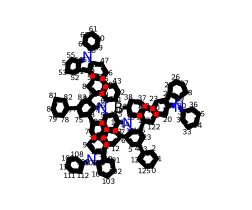 c1ccc(-c2cc(-c3ccccc3)c(N3c4cc(-c5ccc6c(c5)c5ccccc5n6-c5ccccc5)ccc4B4c5ccc(-c6ccc7c(c6)c6ccccc6n7-c6ccccc6)cc5N(c5c(-c6ccccc6)cc(-c6ccccc6)cc5-c5ccccc5)c5cc(-c6ccc7c(c6)c6ccccc6n7-c6ccccc6)cc3c54)c(-c3ccccc3)c2)cc1